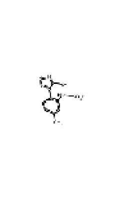 Cc1ccc(-n2nnnc2S)c(NS(=O)(=O)O)c1